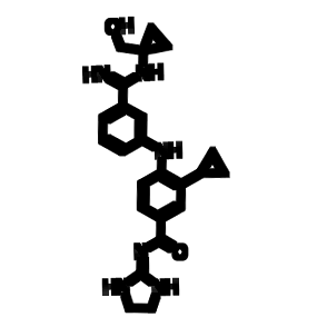 N=C(NC1(CO)CC1)c1cccc(Nc2ccc(C(=O)N=C3NCCN3)cc2C2CC2)c1